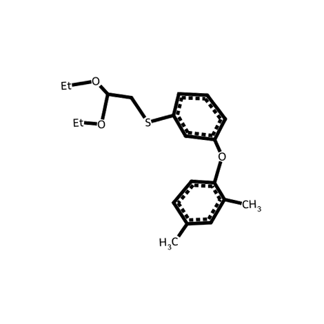 CCOC(CSc1cccc(Oc2ccc(C)cc2C)c1)OCC